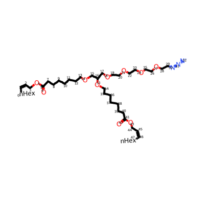 CCCCCC/C=C\COC(=O)CCCCCCCOCC(COCCOCCOCCOCCN=[N+]=[N-])OCCCCCCCC(=O)OC/C=C\CCCCCC